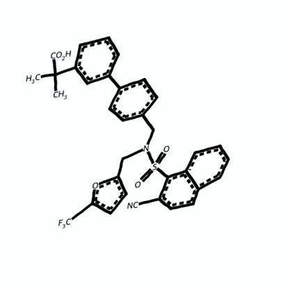 CC(C)(C(=O)O)c1cccc(-c2ccc(CN(Cc3ccc(C(F)(F)F)o3)S(=O)(=O)c3c(C#N)ccc4ccccc34)cc2)c1